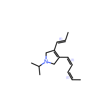 C/C=C\C=C/C1=C(/C=C/C)CN(C(C)C)C1